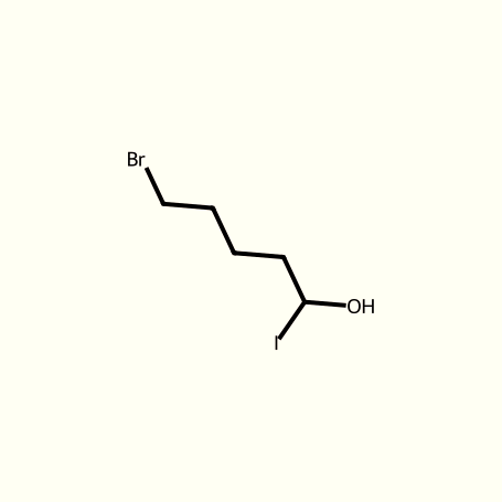 OC(I)CCCCBr